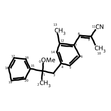 COC(C)(Cc1ccc(/C=C(\C)C#N)c(C)c1)c1ccccc1